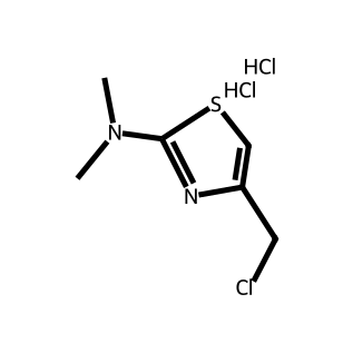 CN(C)c1nc(CCl)cs1.Cl.Cl